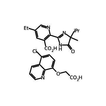 CCc1cnc(C2=NC(C)(C(C)C)C(=O)N2)c(C(=O)O)c1.O=C(O)COc1ccc(Cl)c2cccnc12